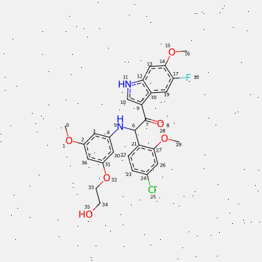 COc1cc(NC(C(=O)c2c[nH]c3cc(OC)c(F)cc23)c2ccc(Cl)cc2OC)cc(OCCO)c1